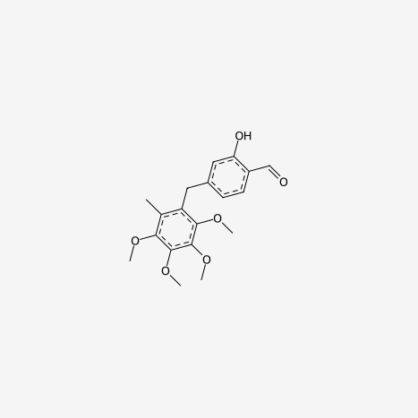 COc1c(C)c(Cc2ccc(C=O)c(O)c2)c(OC)c(OC)c1OC